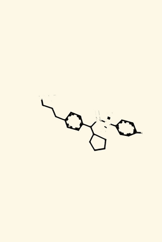 CCOC(=O)CCCc1ccc(C(NS(=O)(=O)c2ccc(Cl)cc2)C2CCCC2)cc1